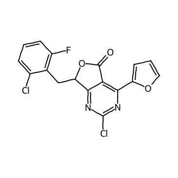 O=C1OC(Cc2c(F)cccc2Cl)c2nc(Cl)nc(-c3ccco3)c21